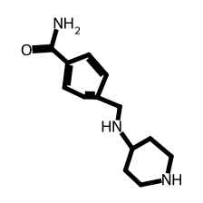 NC(=O)c1ccc(CNC2CCNCC2)cc1